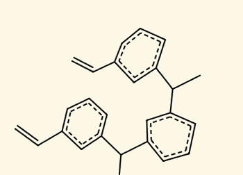 C=Cc1cccc(C(C)c2cccc(C(C)c3cccc(C=C)c3)c2)c1